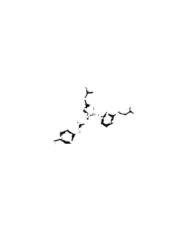 CC(C)Cc1cc(NC(=O)Nc2ccc(Cl)cc2)n(-c2cccc(CCC(=O)O)c2)n1